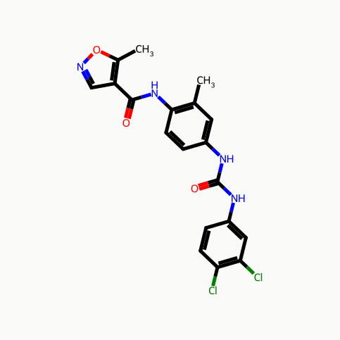 Cc1cc(NC(=O)Nc2ccc(Cl)c(Cl)c2)ccc1NC(=O)c1cnoc1C